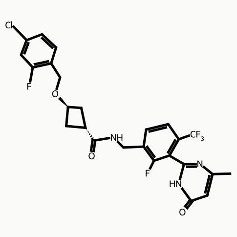 Cc1cc(=O)[nH]c(-c2c(C(F)(F)F)ccc(CNC(=O)[C@H]3C[C@H](OCc4ccc(Cl)cc4F)C3)c2F)n1